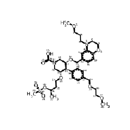 COCCCN1CCOc2ccc(CO[C@H]3CN(C(=O)O)C[C@@H](OCC[C@@H](C)OS(C)(=O)=O)[C@@H]3c3ccc(COCCOC)cc3)cc21